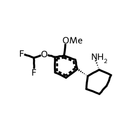 COc1cc([C@H]2CCCC[C@H]2N)ccc1OC(F)F